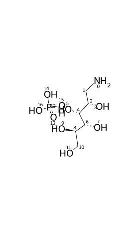 NC[C@H](O)[C@@H](O)[C@H](O)[C@H](O)CO.O=P(O)(O)O